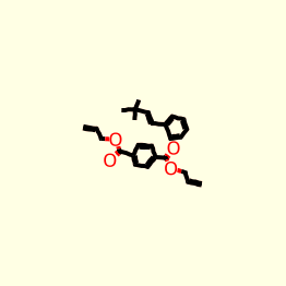 C=CCOC(=O)c1ccc(C(=O)OCC=C)cc1.CC(C)(C)C=Cc1ccccc1